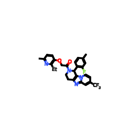 CCc1nc(C)ccc1OCC(=O)N1CCc2nc3cc(C(F)(F)F)ccn3c2C1c1ccc(C)cc1F